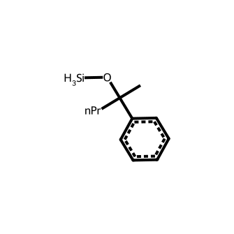 CCCC(C)(O[SiH3])c1ccccc1